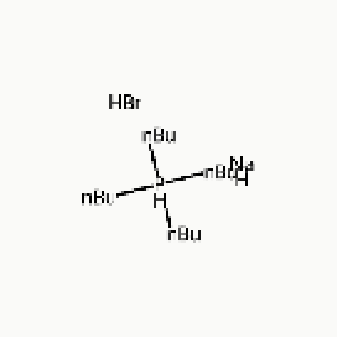 Br.CCCC[PH](CCCC)(CCCC)CCCC.[NaH]